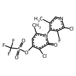 Cc1cnc(Cl)c(F)c1-n1c(C)cc(OS(=O)(=O)C(F)(F)F)c(Cl)c1=O